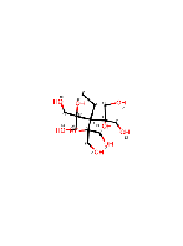 CCC(C(O)(CO)CO)(C(O)(CO)CO)C(O)(CO)CO